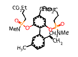 C=C(C)c1ccc(C)cc1-c1c(OP(=O)(CCC(=O)OCC)NC)cc(CCCCC)cc1OP(=O)(CCC(=O)OCC)NC